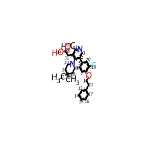 Cc1ncc(-c2ccc(OCCc3ccccc3)c(F)c2)c(N2CCC(C)(C)CC2)c1CC(=O)O